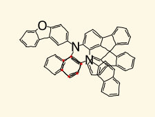 c1ccc(N(c2ccc3oc4ccccc4c3c2)c2ccc3c(c2N(c2ccc4ccccc4c2)c2ccc4ccccc4c2)C2(c4ccccc4-c4ccccc42)c2ccccc2-3)cc1